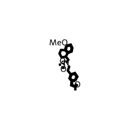 COc1cccc2c1CCCC2CN(CCc1ccc2oc(C)cc2c1)S(C)(=O)=O